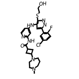 CN1CCCN(C2CC(C(=O)Nc3cc(Nc4cc(-c5cc(Cl)ccc5F)nnc4SCCO)ccn3)C2)CC1